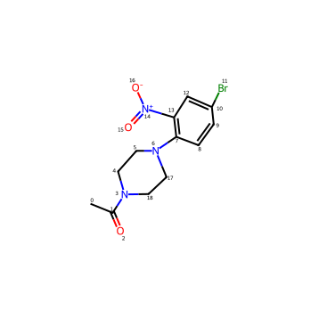 CC(=O)N1CCN(c2ccc(Br)cc2[N+](=O)[O-])CC1